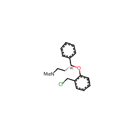 CNCC[C@@H](Oc1ccccc1CCl)c1ccccc1